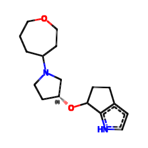 c1cc2c([nH]1)C(O[C@@H]1CCN(C3CCCOCC3)C1)CC2